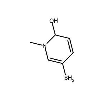 BC1=CN(C)C(O)C=C1